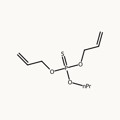 C=CCOP(=S)(OCC=C)OCCC